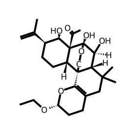 C=C(C)[C@@H]1CC[C@H]2[C@@]34CO[C@@](O)([C@@H](O)[C@@H]3C(C)(C)CC3=C4O[C@@H](OCC)CC3)[C@@]2(C(C)=O)[C@@H]1O